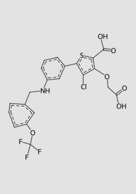 O=C(O)COc1c(C(=O)O)sc(-c2cccc(NCc3cccc(OC(F)(F)F)c3)c2)c1Cl